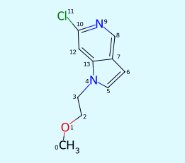 COCCn1ccc2cnc(Cl)cc21